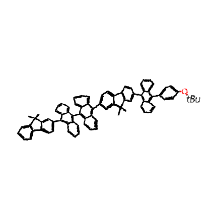 CC(C)(C)Oc1ccc(-c2c3ccccc3c(-c3ccc4c(c3)C(C)(C)c3cc(-c5c6ccccc6c(-c6c7ccccc7c(-c7ccc8c(c7)C(C)(C)c7ccccc7-8)c7ccccc67)c6ccccc56)ccc3-4)c3ccccc23)cc1